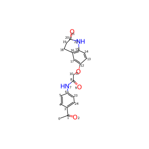 CC(=O)c1ccc(NC(=O)COc2ccc3c(c2)CCC(=O)N3)cc1